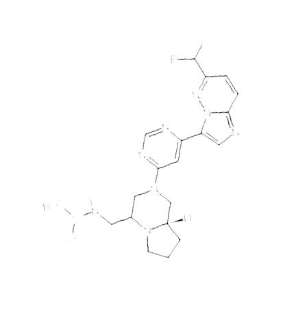 C[S+]([O-])NCC1CN(c2cc(-c3cnc4ccc(C(F)F)nn34)ncn2)C[C@@H]2CCCN12